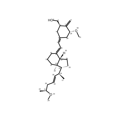 C=C1[C@H](CO)C/C(=C/C=C2\CCC[C@]3(C)[C@@H]([C@@H](C)/C=C/C[C@H](C)OC)CC[C@@H]23)C[C@H]1OC